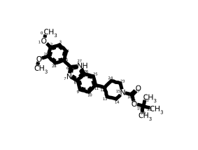 COc1ccc(-c2nc3ccc(C4CCN(C(=O)OC(C)(C)C)CC4)cc3[nH]2)cc1OC